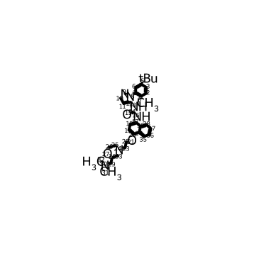 Cc1ccc(C(C)(C)C)cc1-n1nccc1NC(=O)Nc1ccc(OCCN2CCOC(CN(C)C)C2)c2ccccc12